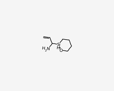 C=CC(N)[SiH]1CCCCO1